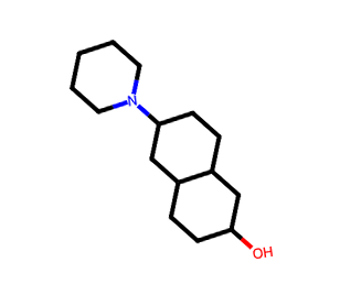 OC1CCC2CC(N3CCCCC3)CCC2C1